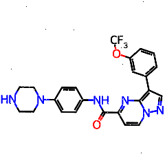 O=C(Nc1ccc(N2CCNCC2)cc1)c1ccn2ncc(-c3cccc(OC(F)(F)F)c3)c2n1